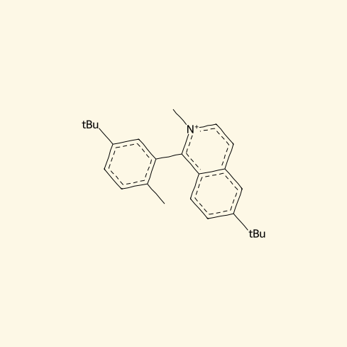 Cc1ccc(C(C)(C)C)cc1-c1c2ccc(C(C)(C)C)cc2cc[n+]1C